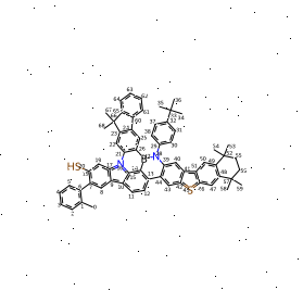 Cc1ccccc1-c1cc2c3ccc4c5c3n(c2cc1S)-c1cc2c(cc1B5N(c1ccc(C(C)(C)C)cc1)c1cc3c(cc1-4)sc1cc4c(cc13)C(C)(C)CCC4(C)C)-c1ccccc1C2(C)C